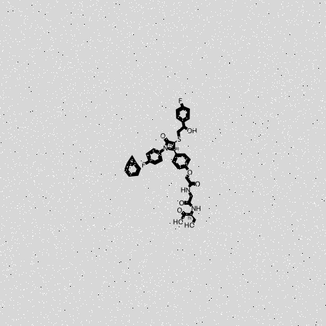 O=C(COc1ccc([C@@H]2[C@@H](SCC(O)c3ccc(F)cc3)C(=O)N2c2ccc(F)cc2)cc1)NCC(=O)N[C@@H](CO)C(=O)O.c1ccc2c(c1)C2